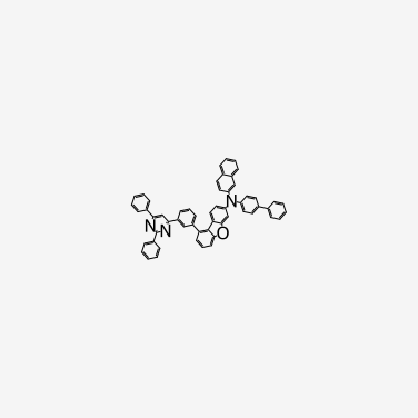 c1ccc(-c2ccc(N(c3ccc4ccccc4c3)c3ccc4c(c3)oc3cccc(-c5cccc(-c6cc(-c7ccccc7)nc(-c7ccccc7)n6)c5)c34)cc2)cc1